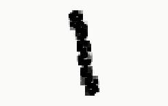 c1cc2sc3c4sc(-c5ccc(-c6ccc(-c7cc8sc9c%10sccc%10sc9c8s7)cn6)nc5)cc4sc3c2s1